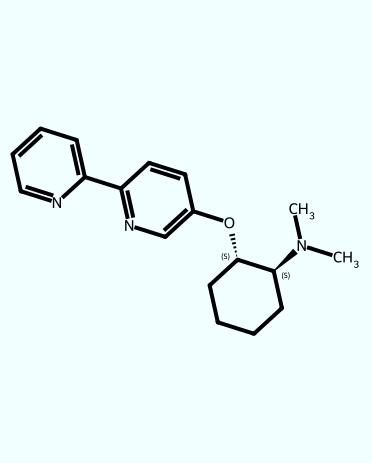 CN(C)[C@H]1CCCC[C@@H]1Oc1ccc(-c2ccccn2)nc1